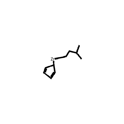 CC(C)C[CH2][Zr][CH]1C=CC=C1